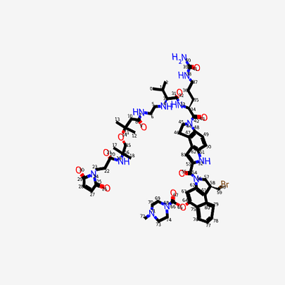 CC(C)[C@H](NCCNC(=O)CC(C)(C)OCC(C)(C)NC(=O)CCN1C(=O)C=CC1=O)C(=O)N[C@@H](CCCNC(N)=O)C(=O)N1CCc2c1ccc1[nH]c(C(=O)N3C[C@@H](CBr)c4c3cc(OC(=O)N3CCN(C)CC3)c3ccccc43)cc21